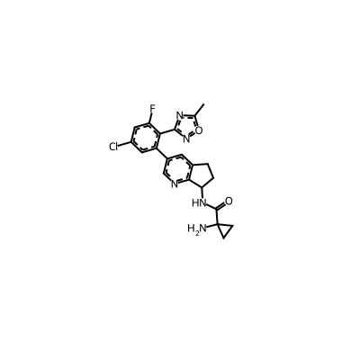 Cc1nc(-c2c(F)cc(Cl)cc2-c2cnc3c(c2)CCC3NC(=O)C2(N)CC2)no1